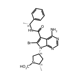 C[C@@H](NC(=O)c1c(Br)n([C@@H]2C[C@H](C)N(C(=O)O)C2)c2ncnc(N)c12)c1ccccc1